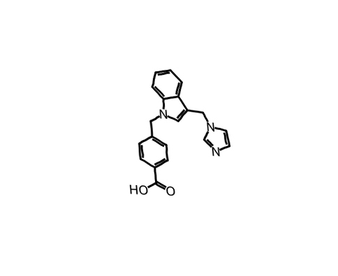 O=C(O)c1ccc(Cn2cc(Cn3ccnc3)c3ccccc32)cc1